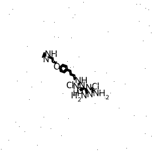 Nc1nc(N)c(C(=O)/N=C(\NCl)NCCCCc2ccc(OCCCc3ncc[nH]3)cc2)nc1Cl